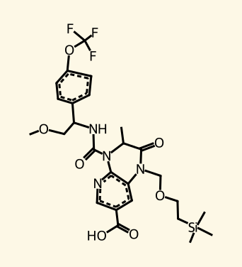 COCC(NC(=O)N1c2ncc(C(=O)O)cc2N(COCC[Si](C)(C)C)C(=O)C1C)c1ccc(OC(F)(F)F)cc1